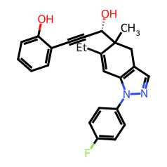 CCC1=Cc2c(cnn2-c2ccc(F)cc2)CC1(C)[C@@H](O)C#Cc1ccccc1O